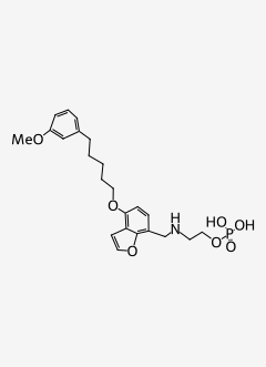 COc1cccc(CCCCCOc2ccc(CNCCOP(=O)(O)O)c3occc23)c1